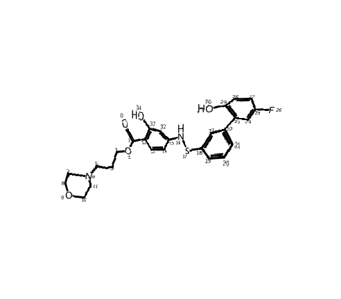 O=C(OCCCN1CCOCC1)c1ccc(NSc2cccc(-c3cc(F)ccc3O)c2)cc1O